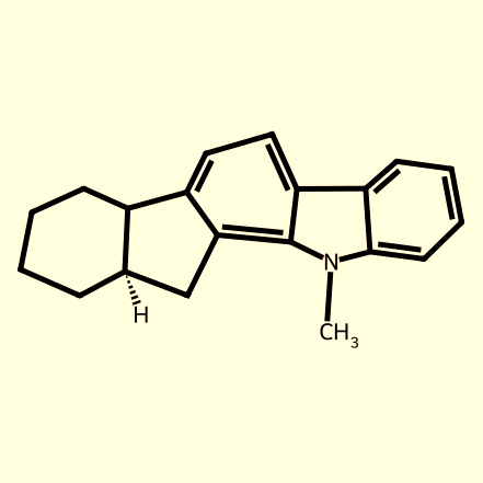 Cn1c2ccccc2c2ccc3c(c21)C[C@H]1CCCCC31